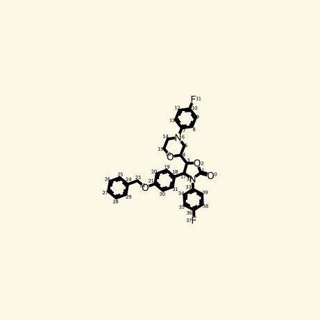 O=C1OC(C2CN(c3ccc(F)cc3)CCO2)C(c2ccc(OCc3ccccc3)cc2)N1c1ccc(F)cc1